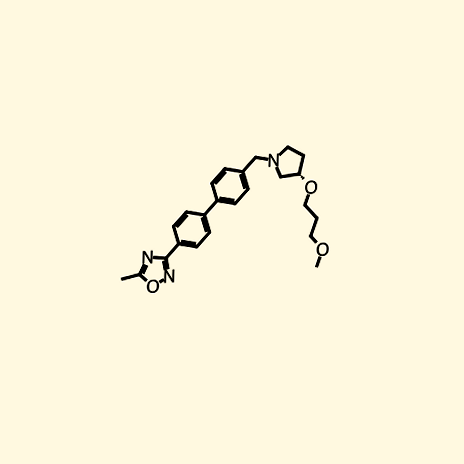 COCCCO[C@H]1CCN(Cc2ccc(-c3ccc(-c4noc(C)n4)cc3)cc2)C1